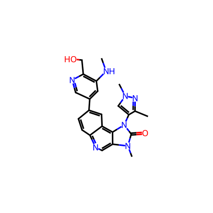 CNc1cc(-c2ccc3ncc4c(c3c2)n(-c2cn(C)nc2C)c(=O)n4C)cnc1CO